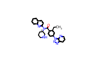 CCc1cc(-n2nnc3cccnc32)ccc1C(=O)N(c1ccc2ccccc2n1)[C@@H]1CCCNC1